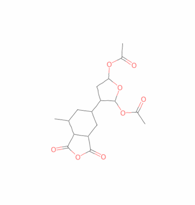 CC(=O)OC1CC(C2CC(C)C3C(=O)OC(=O)C3C2)C(OC(C)=O)O1